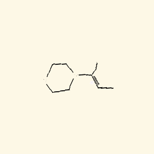 C/C=C(\C)N1CCNCC1